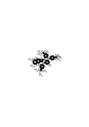 CC(C)(C)c1ccc(N2c3ccc(C(C)(C)C)cc3B3c4sc5cc6c(cc5c4N(c4ccc(C(C)(C)C)cc4)c4cc(Cl)cc2c43)C(C)(C)CCC6(C)C)cc1